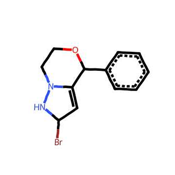 BrC1C=C2C(c3ccccc3)OCCN2N1